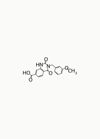 COc1cccc(Cn2c(=O)[nH]c3cc(C(=O)O)ccc3c2=O)c1